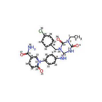 CCN1C(=O)NC(Nc2ccc(-n3cc(C(N)=O)ccc3=O)cc2)N(Cc2ccc(Cl)cc2)C1=O